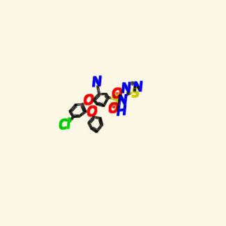 N#Cc1cc(S(=O)(=O)Nc2ncns2)ccc1Oc1ccc(Cl)cc1Oc1ccccc1